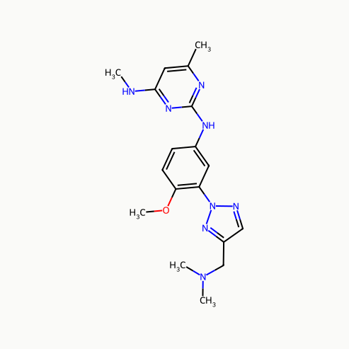 CNc1cc(C)nc(Nc2ccc(OC)c(-n3ncc(CN(C)C)n3)c2)n1